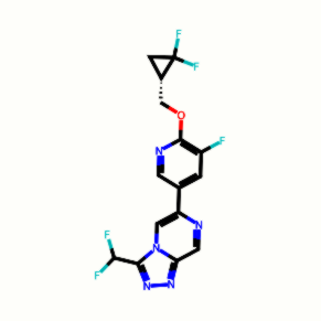 Fc1cc(-c2cn3c(C(F)F)nnc3cn2)cnc1OC[C@@H]1CC1(F)F